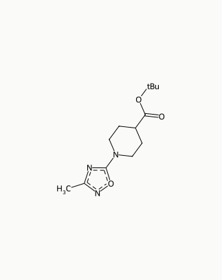 Cc1noc(N2CCC(C(=O)OC(C)(C)C)CC2)n1